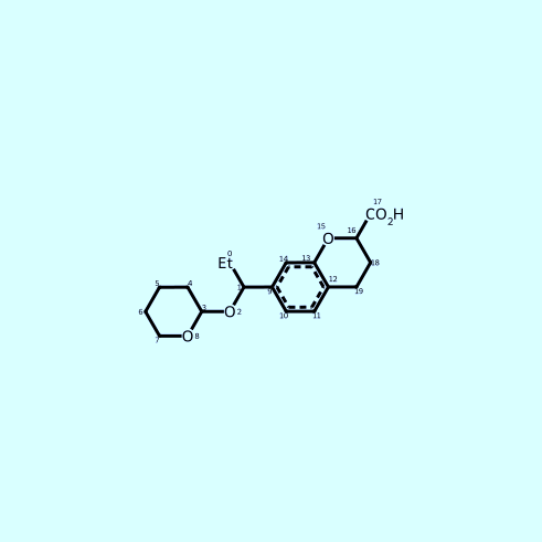 CCC(OC1CCCCO1)c1ccc2c(c1)OC(C(=O)O)CC2